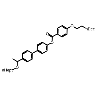 CCCCCCCCCCCCOc1ccc(C(=O)Oc2ccc(-c3ccc(C(C)OCCCCCCC)cc3)cc2)cc1